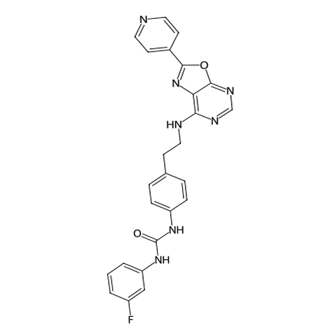 O=C(Nc1ccc(CCNc2ncnc3oc(-c4ccncc4)nc23)cc1)Nc1cccc(F)c1